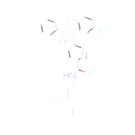 C[S+]([O-])CCCNC(=O)c1ccc(C(c2cc(F)ccc2F)S(=O)(=O)c2ccc(F)cc2)cn1